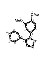 COc1ccc(-n2nccc2-c2ccncc2)cc1OC